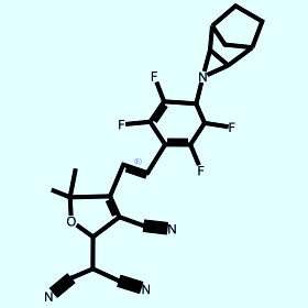 CC1(C)OC(C(C#N)C#N)C(C#N)=C1/C=C/C1=C(F)C(F)C(N2C3C4CCC(C4)C32)C(F)=C1F